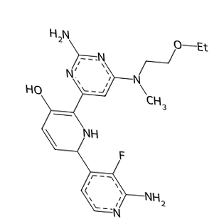 CCOCCN(C)c1cc(C2=C(O)C=CC(c3ccnc(N)c3F)N2)nc(N)n1